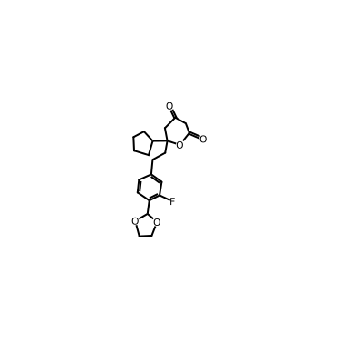 O=C1CC(=O)OC(CCc2ccc(C3OCCO3)c(F)c2)(C2CCCC2)C1